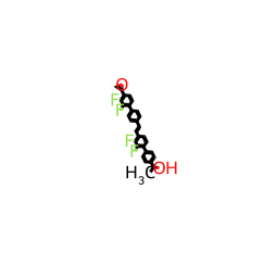 CC(O)c1ccc(-c2ccc(/C=C/c3ccc(-c4ccc(C5CO5)c(F)c4F)cc3)c(F)c2F)cc1